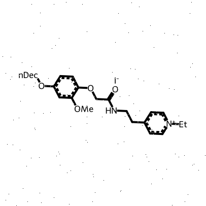 CCCCCCCCCCOc1ccc(OCC(=O)NCCc2cc[n+](CC)cc2)c(OC)c1.[I-]